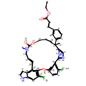 CCOC(=O)CCc1cccc(C2(C)CCCOC(=O)N(C)C/C=C/c3c(c(F)cc4[nH]ccc34)Oc3ccc(F)c(c3)-c3ncc2[nH]3)c1